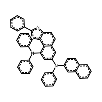 c1ccc(-c2nc3ccc4cc(N(c5ccccc5)c5ccc6ccccc6c5)cc(N(c5ccccc5)c5ccccc5)c4c3o2)cc1